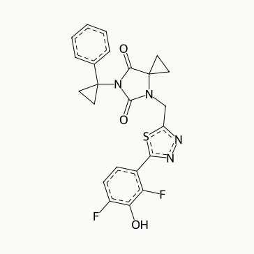 O=C1N(Cc2nnc(-c3ccc(F)c(O)c3F)s2)C2(CC2)C(=O)N1C1(c2ccccc2)CC1